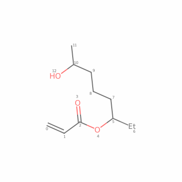 C=CC(=O)OC(CC)CCCC(C)O